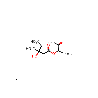 CCCCCC(OC(=O)CC(O)(CC(=O)O)C(=O)O)C(=O)CCC